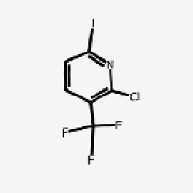 FC(F)(F)c1ccc(I)nc1Cl